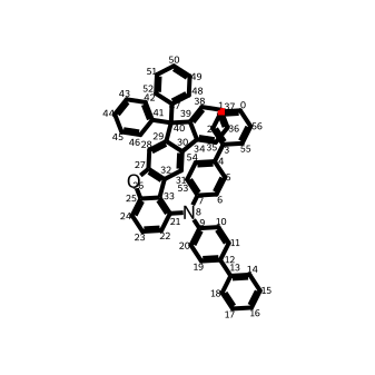 c1ccc(-c2ccc(N(c3ccc(-c4ccccc4)cc3)c3cccc4oc5cc6c(cc5c34)-c3ccccc3C6(c3ccccc3)c3ccccc3)cc2)cc1